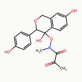 CC(=O)C(=O)N(C)OC1(O)c2ccc(O)cc2COC1c1ccc(O)cc1